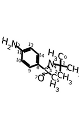 CC(C)(C)N=S(C)(=O)c1ccc(N)cc1